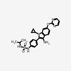 CC(C)NS(=O)(=O)Nc1ccc(-c2c(N)c3ccc(Oc4ncccn4)cc3n2C2CC2)cc1